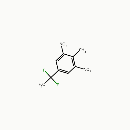 Cc1c([N+](=O)[O-])cc(C(F)(F)C(F)(F)F)cc1[N+](=O)[O-]